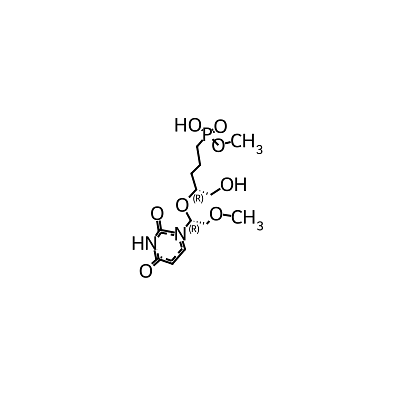 COC[C@@H](O[C@@H](CO)CCCP(=O)(O)OC)n1ccc(=O)[nH]c1=O